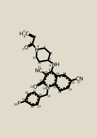 C=CC(=O)N1CCC(Nc2c(C#N)c(=O)n(Cc3ccc(F)cc3)c3ccc(C#N)cc23)CC1